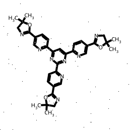 CC1(C)CN=C(c2ccc(-c3cc(-c4ccc(C5=NCC(C)(C)O5)cn4)nc(-c4ccc(C5=NCC(C)(C)O5)cn4)n3)nc2)O1